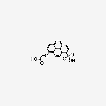 O=C(O)COc1ccc2ccc3ccc(S(=O)(=O)O)c4ccc1c2c34